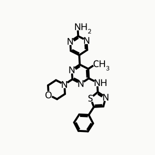 Cc1c(Nc2ncc(-c3ccccc3)s2)nc(N2CCOCC2)nc1-c1cnc(N)nc1